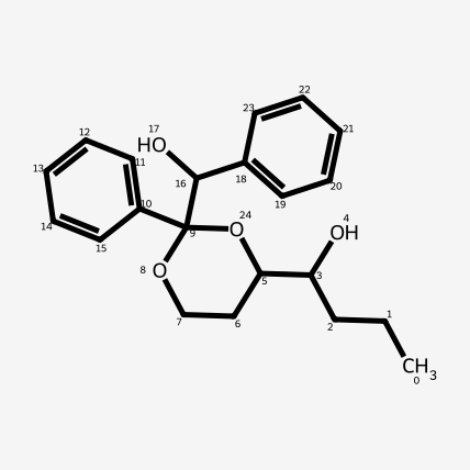 CCCC(O)C1CCOC(c2ccccc2)(C(O)c2ccccc2)O1